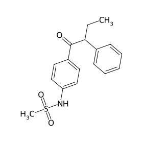 CCC(C(=O)c1ccc(NS(C)(=O)=O)cc1)c1ccccc1